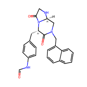 O=CNc1ccc(C[C@H]2C(=O)N(Cc3cccc4ccccc34)C[C@@H]3NCC(=O)N32)cc1